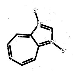 [S-][n+]1c[n+]([S-])c2cccccc1-2